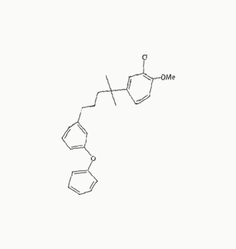 COc1ccc(C(C)(C)CCCc2cccc(Oc3ccccc3)c2)cc1Cl